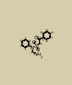 NCN(c1ccccc1)S(=O)(=O)CC(=O)c1ccccc1